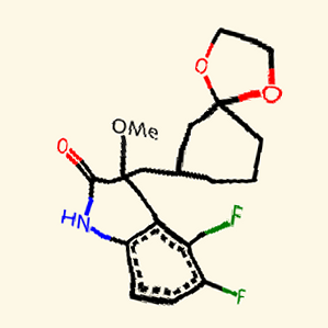 COC1(C2CCCC3(C2)OCCO3)C(=O)Nc2ccc(F)c(F)c21